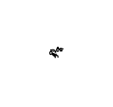 O=[P].[Ag].[V]